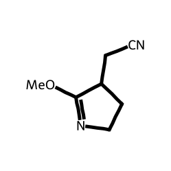 COC1=NCCC1CC#N